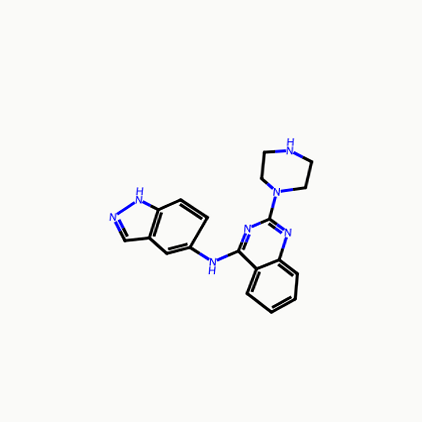 c1ccc2c(Nc3ccc4[nH]ncc4c3)nc(N3CCNCC3)nc2c1